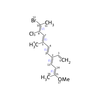 C=CC(/C=C/C(C)=C/C(Cl)=C(\C)Br)=C\C=C(/C)OC